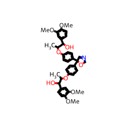 COc1ccc(C(O)C(C)Oc2ccc(C3(c4ccc(OC(C)C(O)c5ccc(OC)c(OC)c5)cc4)C=NCO3)cc2)cc1OC